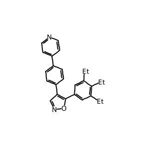 CCc1cc(-c2oncc2-c2ccc(-c3ccncc3)cc2)cc(CC)c1CC